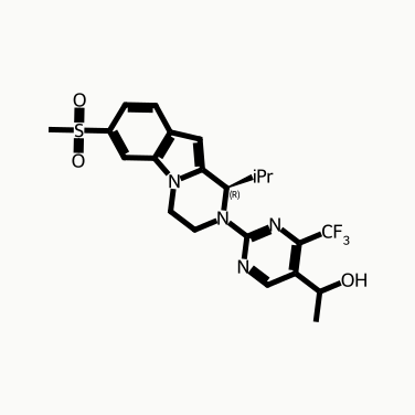 CC(O)c1cnc(N2CCn3c(cc4ccc(S(C)(=O)=O)cc43)[C@H]2C(C)C)nc1C(F)(F)F